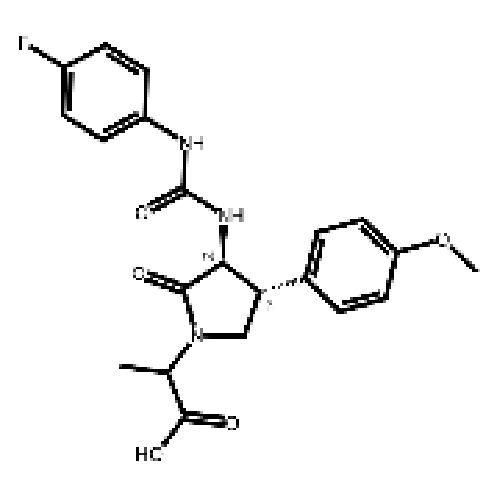 COc1ccc([C@@H]2CN(C(C)C(=O)O)C(=O)[C@H]2NC(=O)Nc2ccc(F)cc2)cc1